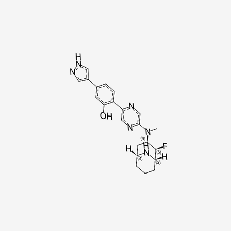 CN(c1cnc(-c2ccc(-c3cn[nH]c3)cc2O)cn1)[C@@H]1C[C@H]2CCC[C@H](N2)[C@@H]1F